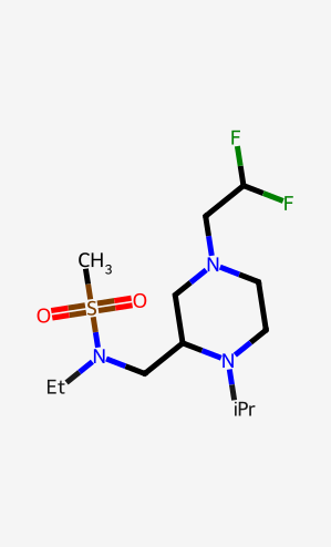 CCN(CC1CN(CC(F)F)CCN1C(C)C)S(C)(=O)=O